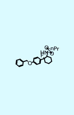 CCCS(=O)(=O)NC1CCCCC1(F)c1ccc(OCc2ccccc2)cc1